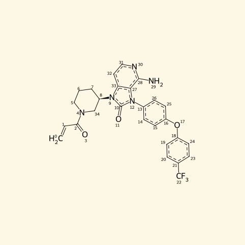 C=CC(=O)N1CCC[C@@H](n2c(=O)n(-c3ccc(Oc4ccc(C(F)(F)F)cc4)cc3)c3c(N)nccc32)C1